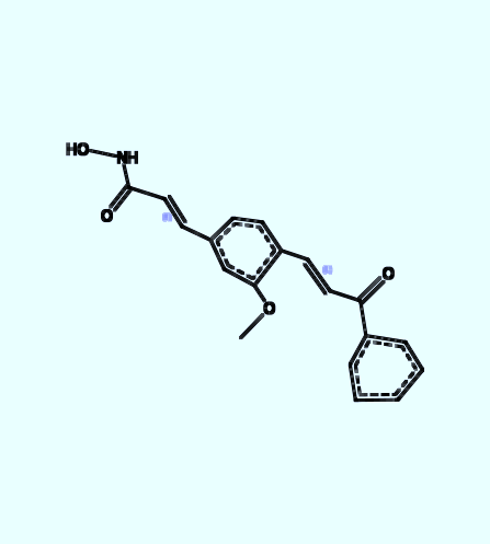 COc1cc(/C=C/C(=O)NO)ccc1/C=C/C(=O)c1ccccc1